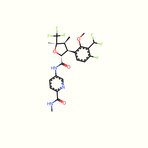 CNC(=O)c1ccc(NC(=O)[C@@H]2O[C@@](C)(C(F)(F)F)[C@@H](C)[C@H]2c2ccc(F)c(C(F)F)c2OC)cn1